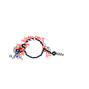 CNc1ccc(C(=O)C[C@H](O)CC[C@H](C)C2OC(=O)C[C@H](O)CC(=O)C[C@H](O)C[C@H](O)C[C@H](O)C[C@H](O)C[C@]3(O)C[C@H](O)[C@@H](C(=O)Oc4c(F)c(F)c(F)c(F)c4F)C(C[C@@H](O[C@@H]4O[C@H](C)[C@@H](O)[C@H](NC(=O)CN(C)C)[C@@H]4O)/C=C/C=C/C=C/C=C\C=C/C=C/C=C/[C@@H]2C)O3)cc1